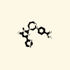 Cn1c(N2CCCO[C@@H](c3ccc(C(N)=O)cc3)C2)nc(-c2ccncn2)cc1=O